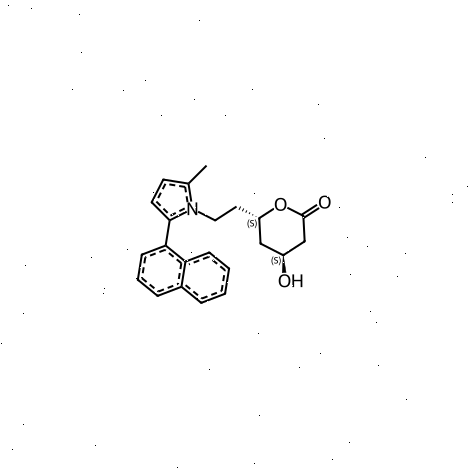 Cc1ccc(-c2cccc3ccccc23)n1CC[C@H]1C[C@H](O)CC(=O)O1